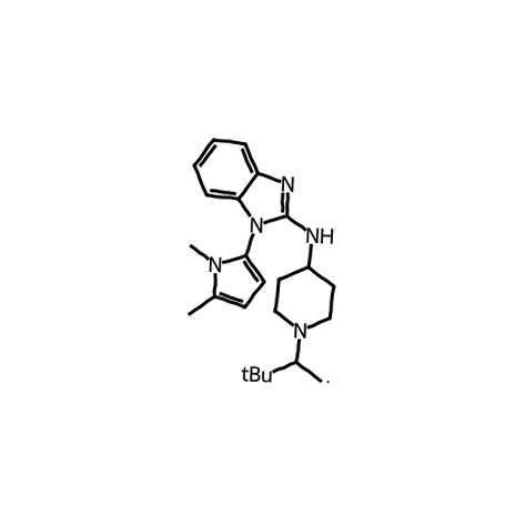 [CH2]C(N1CCC(Nc2nc3ccccc3n2-c2ccc(C)n2C)CC1)C(C)(C)C